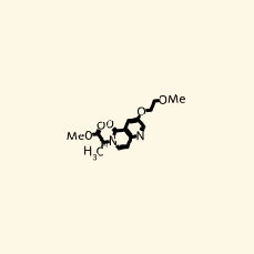 COCCOc1cnc2ccn([C@H](C)C(=O)OC)c(=O)c2c1